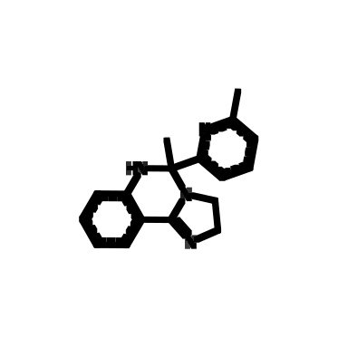 Cc1cccc(C2(C)Nc3ccccc3C3=NCCN32)n1